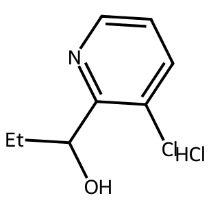 CCC(O)c1ncccc1Cl.Cl